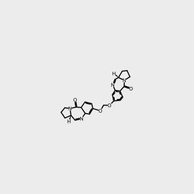 O=C1c2ccc(OCOC3=CC4N=C[C@@H]5CCCN5C(=O)C4C=C3)cc2N=C[C@@H]2CCCN12